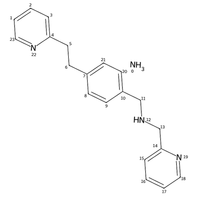 N.c1ccc(CCc2ccc(CNCc3ccccn3)cc2)nc1